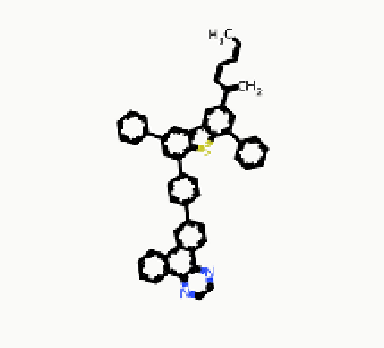 C=C(/C=C\C=C/C)c1cc(-c2ccccc2)c2sc3c(-c4ccc(-c5ccc6c(c5)c5ccccc5c5nccnc65)cc4)cc(-c4ccccc4)cc3c2c1